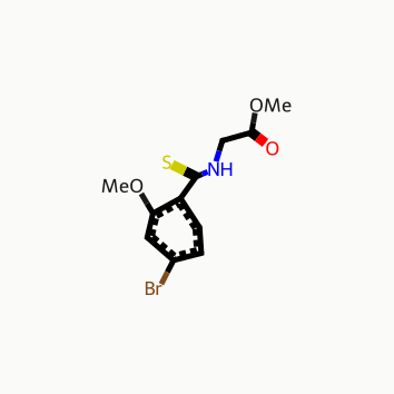 COC(=O)CNC(=S)c1ccc(Br)cc1OC